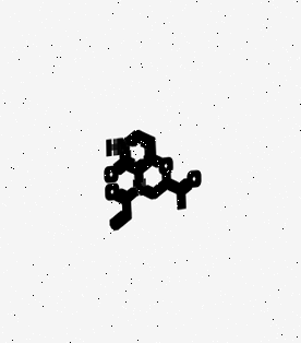 C=CC(=O)N1CC(C(C)=O)Oc2cc[nH]c(=O)c21